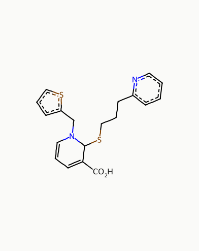 O=C(O)C1=CC=CN(Cc2cccs2)C1SCCCc1ccccn1